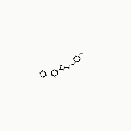 CCOC(=O)Cc1ccc(CNC(=O)c2cc(-c3ccc(Oc4ccccc4)cc3)cs2)cc1